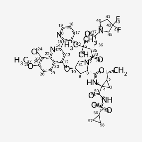 C=CC1C[C@]1(NC(=O)[C@@H]1C[C@@H](Oc2cc(-c3ccccn3)nc3c(Cl)c(OC)ccc23)CN1C(=O)[C@@H](CC(=O)N1CCC(F)(F)C1)C(C)(C)C)C(=O)NS(=O)(=O)C1CC1